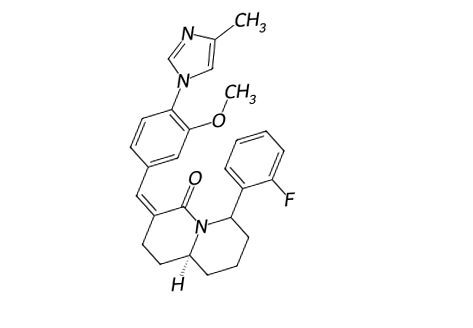 COc1cc(/C=C2/CC[C@@H]3CCCC(c4ccccc4F)N3C2=O)ccc1-n1cnc(C)c1